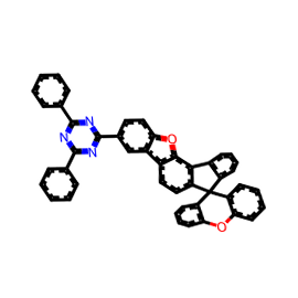 c1ccc(-c2nc(-c3ccccc3)nc(-c3ccc4oc5c6c(ccc5c4c3)C3(c4ccccc4Oc4ccccc43)c3ccccc3-6)n2)cc1